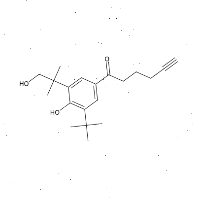 C#CCCCC(=O)c1cc(C(C)(C)C)c(O)c(C(C)(C)CO)c1